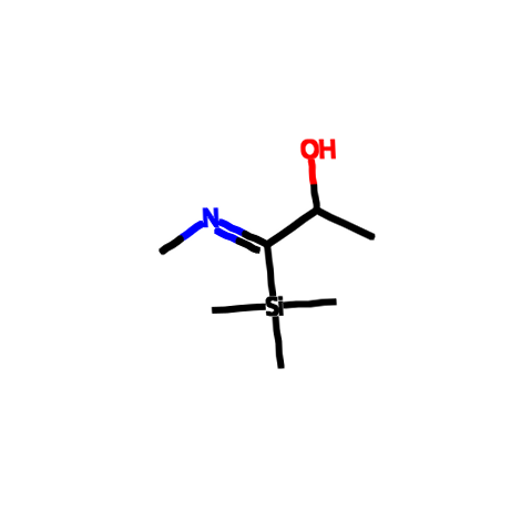 CN=C(C(C)O)[Si](C)(C)C